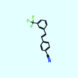 N#Cc1ccc(C=Cc2cccc(C(F)(F)F)c2)cc1